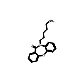 NCCCCCN1C(=O)c2ccccc2Oc2ccccc21